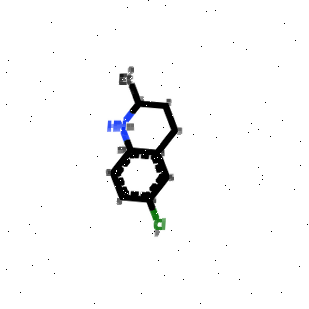 CCC1CCc2cc(Cl)ccc2N1